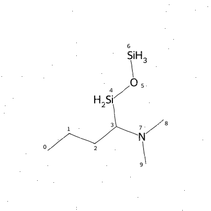 CCCC([SiH2]O[SiH3])N(C)C